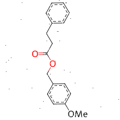 COc1ccc(COC(=O)CCc2cc[c]cc2)cc1